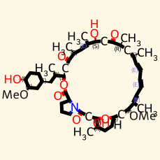 CO[C@H]1C[C@@H]2CC[C@@H](C)[C@](O)(CC(=O)N3CCCC3C(=O)O[C@H]([C@H](C)C[C@@H]3CC[C@@H](O)[C@H](OC)C3)CC(=O)[C@H](C)/C=C(\C)[C@@H](O)CC(=O)[C@H](C)C[C@H](C)/C=C/C=C/C=C/1C)O2